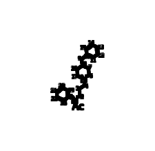 CC(=O)N(CCCN1CCC(Cc2ccccc2)CC1)c1ccccc1